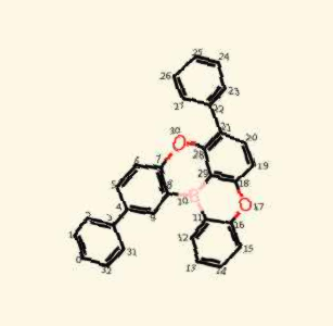 c1ccc(-c2ccc3c(c2)B2c4ccccc4Oc4ccc(-c5ccccc5)c(c42)O3)cc1